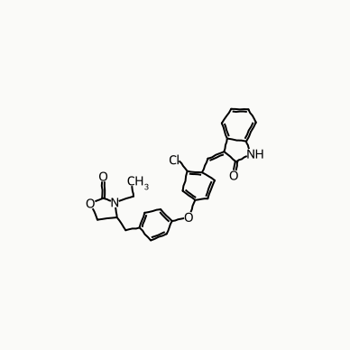 CCN1C(=O)OCC1Cc1ccc(Oc2ccc(C=C3C(=O)Nc4ccccc43)c(Cl)c2)cc1